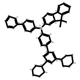 CC1(C)c2ccccc2-c2ccc(N(c3ccc(-c4ccccc4)cc3)c3ccc(-c4cc(C5CCCCC5)cc(C5CCCCC5)c4)cc3)cc21